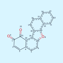 O=C1C=Cc2ccc3oc4c5ccccc5ccc4c3c2C1=O